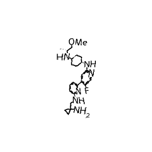 COC[C@@H](C)N[C@H]1CC[C@H](Nc2cc(-c3cccc(NCC4(N)CC4)n3)c(F)cn2)CC1